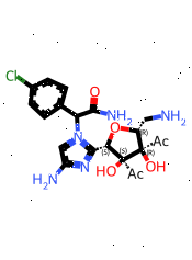 CC(=O)[C@@]1(O)[C@@H](CN)O[C@@H](c2nc(N)cn2C(C(N)=O)c2ccc(Cl)cc2)[C@@]1(O)C(C)=O